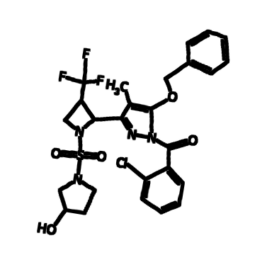 Cc1c(C2C(C(F)(F)F)CN2S(=O)(=O)N2CCC(O)C2)nn(C(=O)c2ccccc2Cl)c1OCc1ccccc1